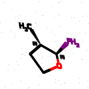 C[C@H]1CCO[C@@H]1P